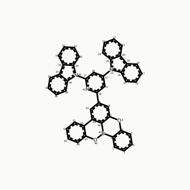 c1ccc2c(c1)Oc1cc(-c3cc(-n4c5ccccc5c5ccccc54)cc(-n4c5ccccc5c5ccccc54)n3)cc3c1B2Oc1ccccc1-3